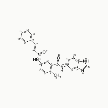 Cc1ccc(NC(=O)C=Cc2ccccc2)cc1C(=O)Nc1cnc2[nH]cnc2c1